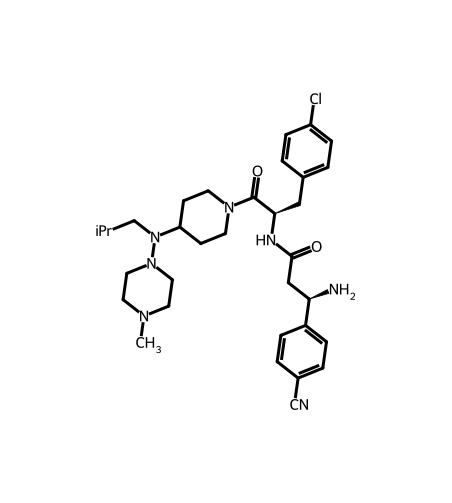 CC(C)CN(C1CCN(C(=O)[C@@H](Cc2ccc(Cl)cc2)NC(=O)C[C@@H](N)c2ccc(C#N)cc2)CC1)N1CCN(C)CC1